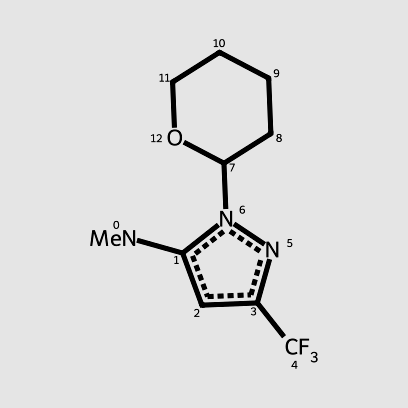 CNc1cc(C(F)(F)F)nn1C1CCCCO1